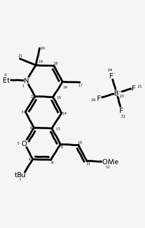 CCN1c2cc3[o+]c(C(C)(C)C)cc(C=COC)c3cc2C(C)=CC1(C)C.F[B-](F)(F)F